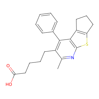 Cc1nc2sc3c(c2c(-c2ccccc2)c1CCCCC(=O)O)CCC3